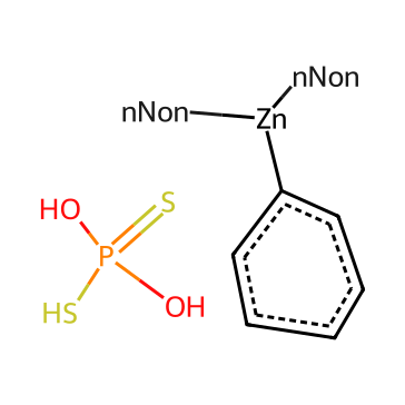 CCCCCCCC[CH2][Zn]([CH2]CCCCCCCC)[c]1ccccc1.OP(O)(=S)S